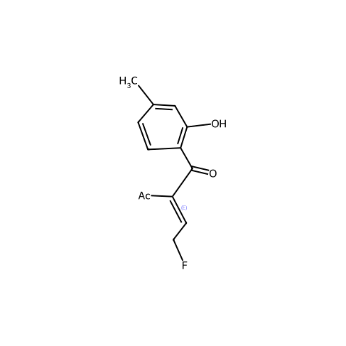 CC(=O)/C(=C\CF)C(=O)c1ccc(C)cc1O